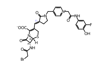 O=C(C[n+]1ccc(CN2CC/C(=C\C3=C(C(=O)[O-])N4C(=O)[C@@H](NC(=O)CBr)[C@H]4SC3)C2=O)cc1)Nc1ccc(O)c(F)c1